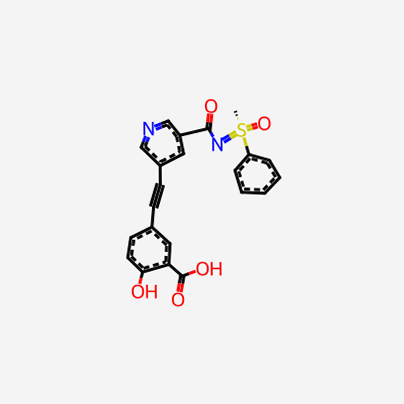 C[S@@](=O)(=NC(=O)c1cncc(C#Cc2ccc(O)c(C(=O)O)c2)c1)c1ccccc1